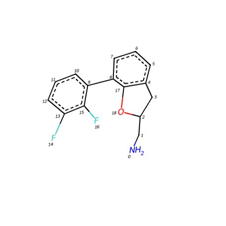 NCC1Cc2cccc(-c3cccc(F)c3F)c2O1